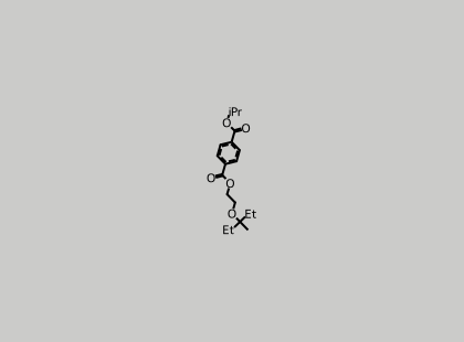 CCC(C)(CC)OCCOC(=O)c1ccc(C(=O)OC(C)C)cc1